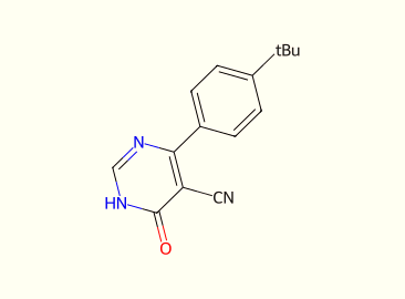 CC(C)(C)c1ccc(-c2nc[nH]c(=O)c2C#N)cc1